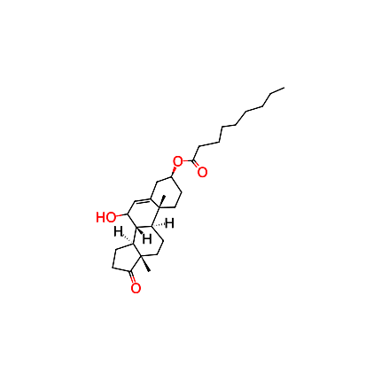 CCCCCCCCC(=O)O[C@H]1CC[C@@]2(C)C(=CC(O)[C@@H]3[C@@H]2CC[C@]2(C)C(=O)CC[C@@H]32)C1